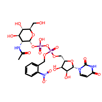 CC(=O)N[C@H]1[C@@H](OP(=O)(O)OP(=O)(OCc2ccccc2[N+](=O)[O-])OC[C@@H]2O[C@H](n3ccc(=O)[nH]c3=O)[C@@H](O)[C@H]2O)O[C@H](CO)[C@@H](O)[C@@H]1O